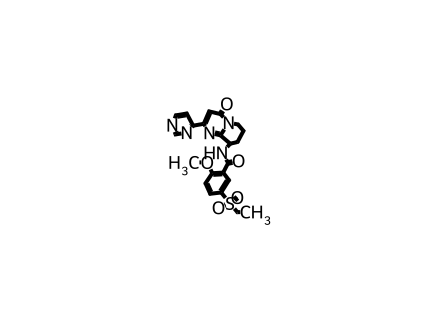 CCS(=O)(=O)c1ccc(OC)c(C(=O)NC2CCCn3c2nc(-c2ccncn2)cc3=O)c1